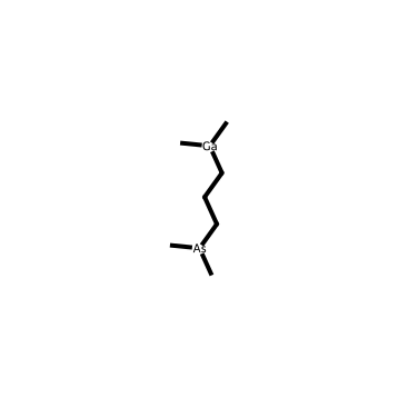 [CH3][Ga]([CH3])[CH2]CC[As](C)C